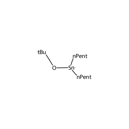 CCCC[CH2][Sn]([CH2]CCCC)[O]C(C)(C)C